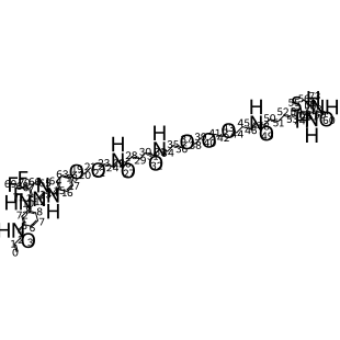 C=CC(=O)Nc1cccc(Nc2nc(Nc3ccc(OCCOCCNC(=O)CCCC(=O)NCCCOCCOCCOCCCNC(=O)CCCC[C@@H]4SC[C@@H]5NC(=O)N[C@@H]54)cc3)ncc2C(F)(F)F)c1